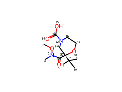 CON(C)C(=O)[C@]1(C(C)(C)C)CN(C(=O)O)CCO1